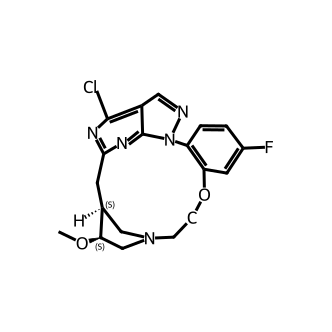 CO[C@@H]1CN2CCOc3cc(F)ccc3-n3ncc4c(Cl)nc(nc43)C[C@H]1C2